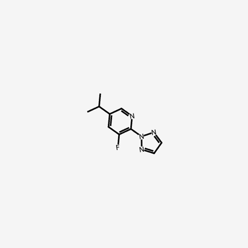 CC(C)c1cnc(-n2nccn2)c(F)c1